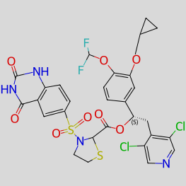 O=C(O[C@@H](Cc1c(Cl)cncc1Cl)c1ccc(OC(F)F)c(OCC2CC2)c1)C1SCCN1S(=O)(=O)c1ccc2[nH]c(=O)[nH]c(=O)c2c1